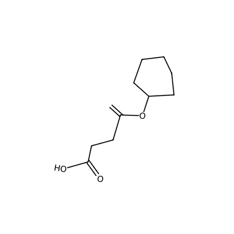 C=C(CCC(=O)O)OC1CCCCC1